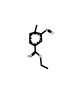 CCOC(=N)c1ccc(C)c(N=O)c1